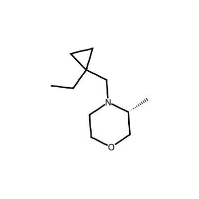 CCC1(CN2CCOC[C@H]2C)CC1